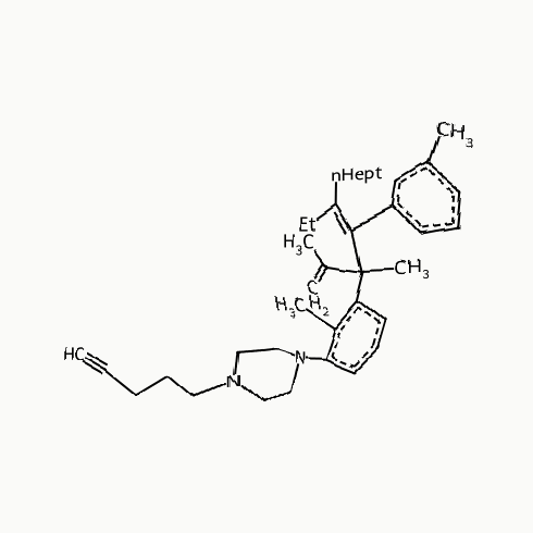 C#CCCCN1CCN(c2cccc(C(C)(C(=C)C)/C(=C(\CC)CCCCCCC)c3cccc(C)c3)c2C)CC1